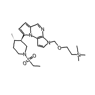 CCS(=O)(=O)N1CC[C@H](C)[C@@H](c2ccc3cnc4c(ccn4COCC[Si](C)(C)C)n23)C1